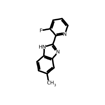 Cc1ccc2[nH]c(-c3ncccc3F)nc2c1